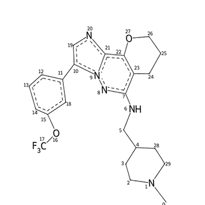 CN1CCC(CNc2nn3c(-c4cccc(OC(F)(F)F)c4)cnc3c3c2CCCO3)CC1